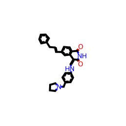 O=C1NC(=O)c2ccc(C=CCc3ccccc3)cc2C1=CNc1ccc(CN2CCCC2)cc1